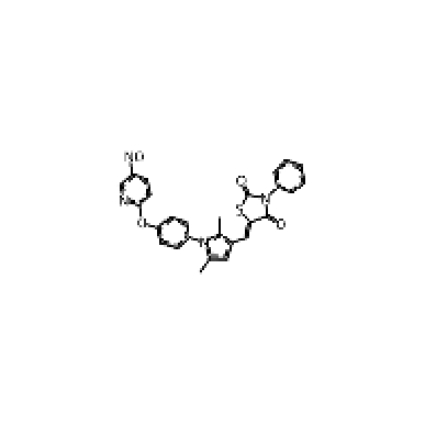 Cc1cc(C=C2SC(=O)N(c3ccccc3)C2=O)c(C)n1-c1ccc(Oc2ccc(N=O)cn2)cc1